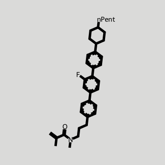 C=C(C)C(=O)N(C)CCCc1ccc(-c2ccc(-c3ccc(C4CCC(CCCCC)CC4)cc3)c(F)c2)cc1